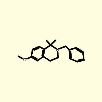 COc1ccc2c(c1)CCN(Cc1ccccc1)C2(C)C